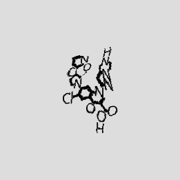 O=C(O)c1cn(-c2cc3n(n2)CCNC3)c2cc(N3CCC[C@@H]3COc3ncccc3Cl)c(Cl)cc2c1=O